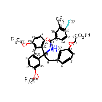 O=C(O)COc1cccc(CC(NC(=O)c2ccc(F)c(C(F)(F)F)c2)(c2cccc(OC(F)(F)F)c2)c2cccc(OC(F)(F)F)c2)c1